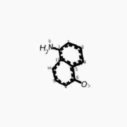 Nc1cccc2c([O])cccc12